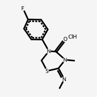 CN=C1SCN(c2ccc(F)cc2)C(=O)N1C.Cl